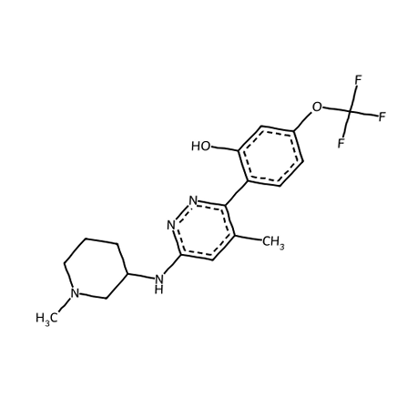 Cc1cc(NC2CCCN(C)C2)nnc1-c1ccc(OC(F)(F)F)cc1O